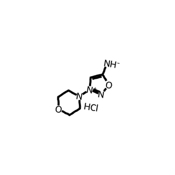 Cl.[NH-]c1c[n+](N2CCOCC2)no1